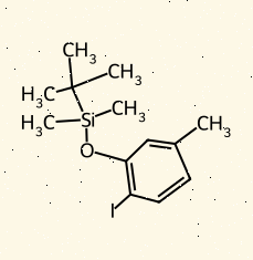 Cc1ccc(I)c(O[Si](C)(C)C(C)(C)C)c1